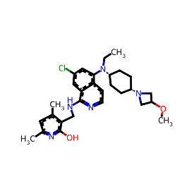 CCN(c1cc(Cl)cc2c(NCc3c(C)cc(C)nc3O)nccc12)[C@H]1CC[C@@H](N2CC(OC)C2)CC1